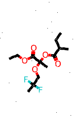 CCOC(=O)C(C)(OCC(C)(F)F)OC(=O)C(C)CC